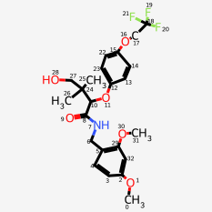 COc1ccc(CNC(=O)C(Oc2ccc(OCC(F)(F)F)cc2)C(C)(C)CO)c(OC)c1